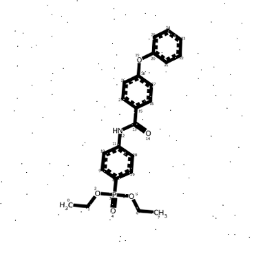 CCOP(=O)(OCC)c1ccc(NC(=O)c2ccc(Oc3ccccc3)cc2)cc1